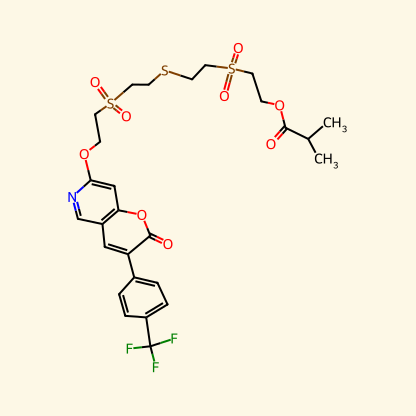 CC(C)C(=O)OCCS(=O)(=O)CCSCCS(=O)(=O)CCOc1cc2oc(=O)c(-c3ccc(C(F)(F)F)cc3)cc2cn1